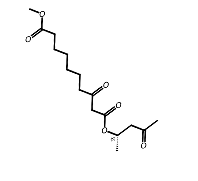 COC(=O)CCCCCCC(=O)CC(=O)O[C@@H](C)CC(C)=O